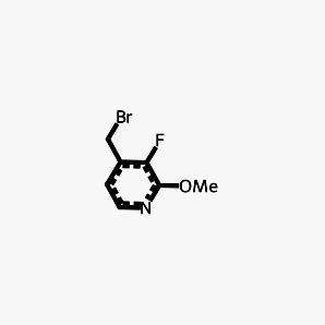 COc1nccc(CBr)c1F